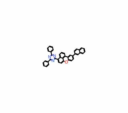 c1ccc(-c2nc(-c3ccccc3)nc(-c3ccc4c5c(cccc35)-c3cc(-c5ccc6ccccc6c5)ccc3O4)n2)cc1